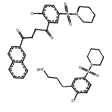 O=C(CCC(=O)c1cc(S(=O)(=O)N2CCCCC2)ccc1Cl)c1ccc2ccccc2c1.O=CCCCc1cc(S(=O)(=O)N2CCCCC2)ccc1Cl